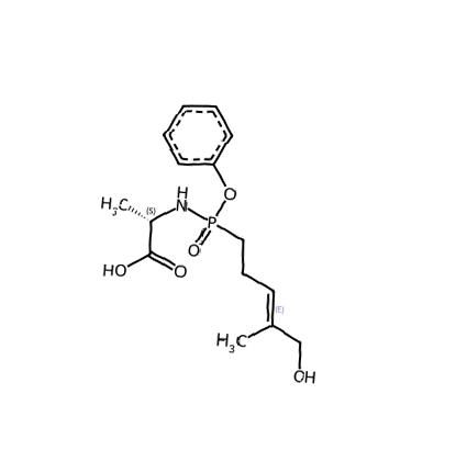 C/C(=C\CCP(=O)(N[C@@H](C)C(=O)O)Oc1ccccc1)CO